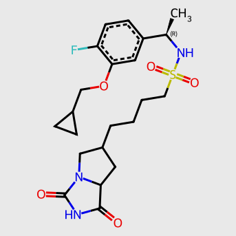 C[C@@H](NS(=O)(=O)CCCCC1CC2C(=O)NC(=O)N2C1)c1ccc(F)c(OCC2CC2)c1